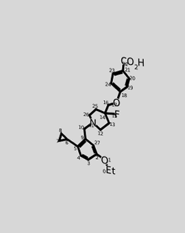 CCOc1ccc(C2CC2)c(CN2CCC(F)(COc3ccc(C(=O)O)cc3)CC2)c1